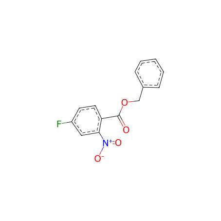 O=C(OCc1ccccc1)c1ccc(F)cc1[N+](=O)[O-]